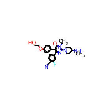 CCn1c(N2CCC(NC)CC2)nc(-c2ccc(C#N)c(F)c2)c(-c2ccc(OCCO)cc2)c1=O